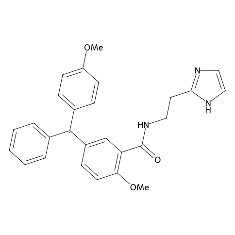 COc1ccc([C](c2ccccc2)c2ccc(OC)c(C(=O)NCCc3ncc[nH]3)c2)cc1